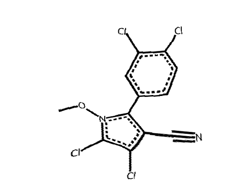 COn1c(Cl)c(Cl)c(C#N)c1-c1ccc(Cl)c(Cl)c1